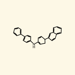 C1=CC(c2ccc3ccccc3c2)CC=C1Nc1ccc(-c2ccccc2)cc1